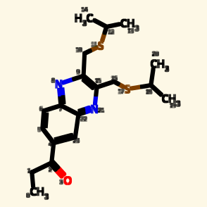 CCC(=O)c1ccc2nc(CSC(C)C)c(CSC(C)C)nc2c1